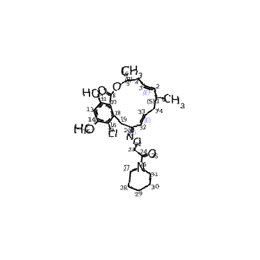 C[C@@H]1/C=C/C[C@@H](C)OC(=O)c2c(O)cc(O)c(Cl)c2CC(=N/OCC(=O)N2CCCCC2)/C=C/C1